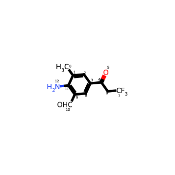 Cc1cc(C(=O)CC(F)(F)F)cc(C=O)c1N